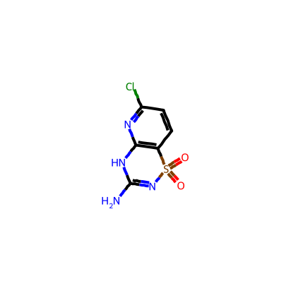 NC1=NS(=O)(=O)c2ccc(Cl)nc2N1